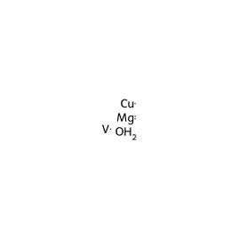 O.[Cu].[Mg].[V]